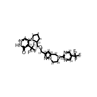 O=c1[nH]ncc(N2CCCC2COCc2cc3n(n2)CCN(c2ncc(C(F)(F)F)cn2)C3)c1C(F)(F)F